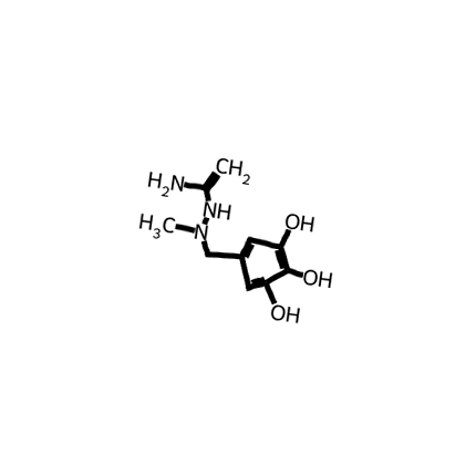 C=C(N)NN(C)Cc1cc(O)c(O)c(O)c1